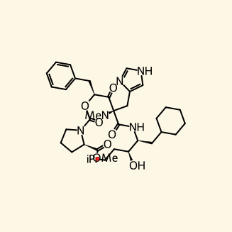 CN[C@@](Cc1c[nH]cn1)(C(=O)N[C@@H](CC1CCCCC1)[C@@H](O)CCC(C)C)C(=O)[C@H](Cc1ccccc1)OC(=O)N1CCC[C@@H]1C(=O)OC